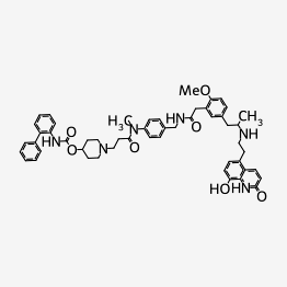 COc1ccc(CC(C)NCCc2ccc(O)c3[nH]c(=O)ccc23)cc1CC(=O)NCc1ccc(N(C)C(=O)CCN2CCC(OC(=O)Nc3ccccc3-c3ccccc3)CC2)cc1